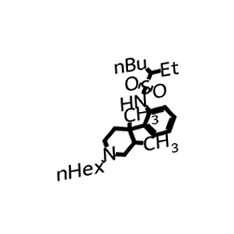 CCCCCCN1CCC(C)(c2ccccc2NS(=O)(=O)C(CC)CCCC)C(C)C1